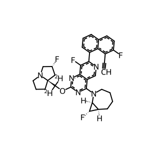 [2H]C([2H])(Oc1nc(N2CCCC[C@H]3[C@H](F)[C@H]32)c2cnc(-c3cccc4ccc(F)c(C#C)c34)c(F)c2n1)[C@@]12CCCN1C[C@H](F)C2